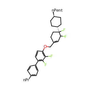 CCCCC[C@H]1CC[C@H](C2(F)CCC(COc3ccc(-c4ccc(CCC)cc4)c(F)c3F)=CC2F)CC1